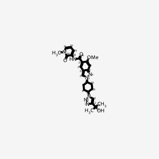 COc1cc2nn(C3CCC(n4cc(C(C)(C)O)nn4)CC3)cc2cc1C(=O)Nc1cccn(C)c1=O